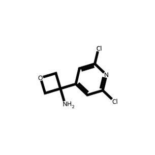 NC1(c2cc(Cl)nc(Cl)c2)COC1